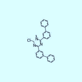 C=N/C(=N\C(=N/CCl)c1cccc(-c2ccccc2)c1)c1cccc(-c2ccccc2)c1